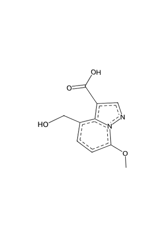 COc1ccc(CO)c2c(C(=O)O)cnn12